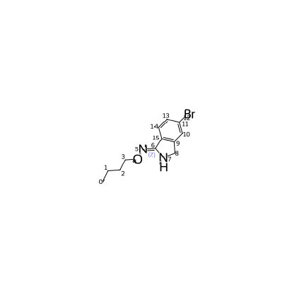 CCCCO/N=C1\NCc2cc(Br)ccc21